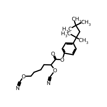 CC(C)(C)CC(C)(C)c1ccc(OC(=O)C(CCCCOC#N)OC#N)cc1